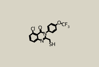 O=c1c2c(Cl)cccc2nc(CS)n1-c1ccc(OC(F)(F)F)cc1